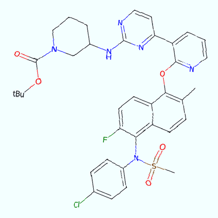 Cc1ccc2c(N(c3ccc(Cl)cc3)S(C)(=O)=O)c(F)ccc2c1Oc1ncccc1-c1ccnc(NC2CCCN(C(=O)OC(C)(C)C)C2)n1